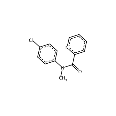 CN(C(=O)c1ccccn1)c1ccc(Cl)cc1